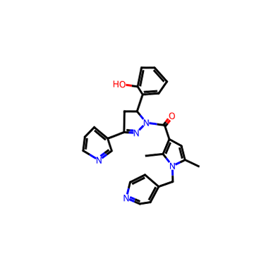 Cc1cc(C(=O)N2N=C(c3cccnc3)CC2c2ccccc2O)c(C)n1Cc1ccncc1